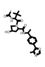 Cc1ncoc1-c1ccc(C(C)NC(=O)C2CC(O)CN2C(=O)C(NC(=O)I)C(C)(C)C)cc1